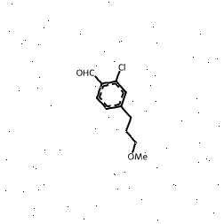 COCCCc1ccc(C=O)c(Cl)c1